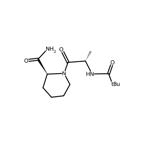 C[C@H](NC(=O)C(C)(C)C)C(=O)N1CCCC[C@H]1C(N)=O